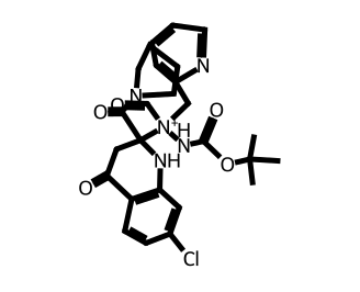 CC(C)(C)OC(=O)N[N+](C=O)(Cc1ccccn1)C1(C(=O)N2CCCC2)CC(=O)c2ccc(Cl)cc2N1